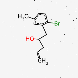 C=CCC(O)Cc1cc(C)ccc1Br